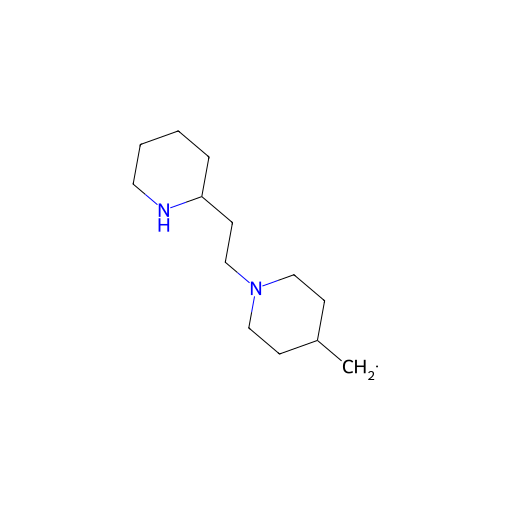 [CH2]C1CCN(CCC2CCCCN2)CC1